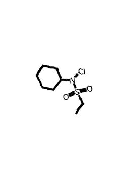 CCS(=O)(=O)N(Cl)C1CCCCC1